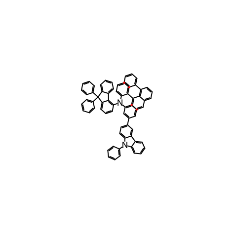 c1ccc(-c2cccc3cccc(-c4ccccc4N(c4cccc(-c5ccc6c(c5)c5ccccc5n6-c5ccccc5)c4)c4cccc5c4-c4ccccc4C5(c4ccccc4)c4ccccc4)c23)cc1